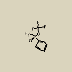 CP(=O)(OC(F)(F)F)c1ccccc1